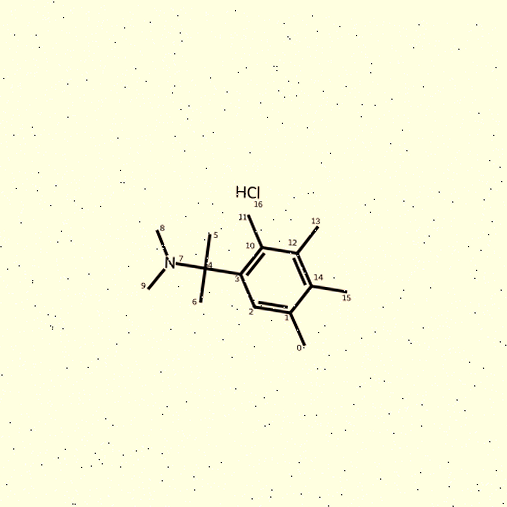 Cc1cc(C(C)(C)N(C)C)c(C)c(C)c1C.Cl